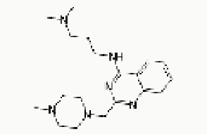 CN(C)CCCNc1nc(CN2CCN(C)CC2)nc2ccccc12